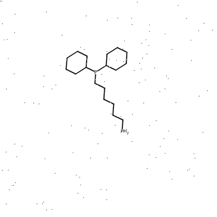 PCCCCCCP(C1CCCCC1)C1CCCCC1